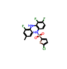 Cc1ccc(Nc2c(NS(=O)(=O)c3ccc(Cl)s3)ccc(F)c2F)c(F)c1